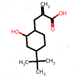 C=C(CC1CCC(C(C)(C)C)CC1O)C(=O)O